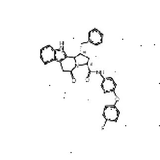 O=C(Nc1ccc(Oc2ccc(F)cc2)cc1)[C@@H]1C[C@@H](Cc2ccccc2)C2c3[nH]c4ccccc4c3CC(=O)N21